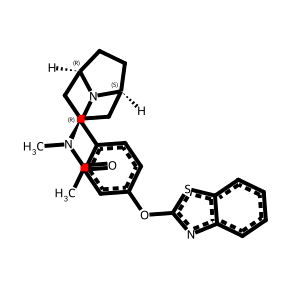 CC(=O)N(C)[C@H]1C[C@H]2CC[C@@H](C1)N2Cc1ccc(Oc2nc3ccccc3s2)cc1